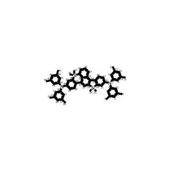 Cc1cc(C)cc(N(c2cc(C)cc(C)c2)c2ccc3c(c2)[Si](C)(C)c2cc4c5c(cccc5c2-3)[Si](C)(C)c2cc(N(c3cc(C)cc(C)c3)c3cc(C)cc(C)c3)ccc2-4)c1